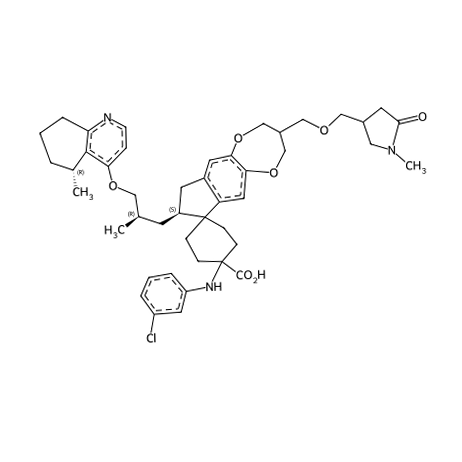 C[C@@H](COc1ccnc2c1[C@H](C)CCC2)C[C@H]1Cc2cc3c(cc2C12CCC(Nc1cccc(Cl)c1)(C(=O)O)CC2)OCC(COCC1CC(=O)N(C)C1)CO3